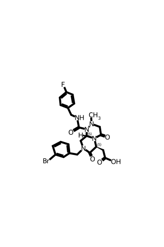 CN1CC(=O)N2[C@@H](CC(=O)O)C(=O)N(Cc3cccc(Br)c3)C[C@@H]2N1C(=O)NCc1ccc(F)cc1